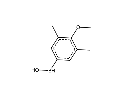 COc1c(C)cc(BO)cc1C